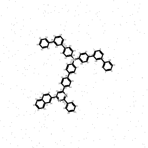 c1ccc(-c2cccc(-c3ccc(N(c4ccc(-c5ccc(-c6cc(-c7ccc8ccccc8c7)nc(-c7ccccc7)n6)cc5)cc4)c4ccc(-c5cccc(-c6ccccc6)c5)cc4)cc3)c2)cc1